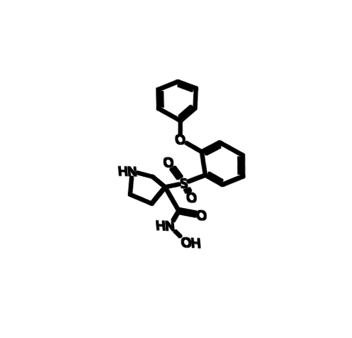 O=C(NO)C1(S(=O)(=O)c2ccccc2Oc2ccccc2)CCNC1